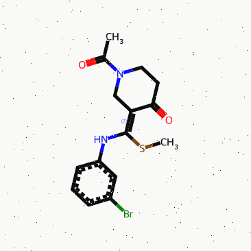 CS/C(Nc1cccc(Br)c1)=C1/CN(C(C)=O)CCC1=O